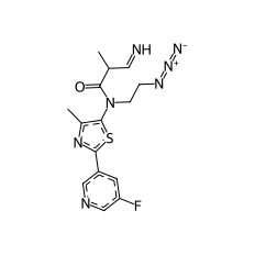 Cc1nc(-c2cncc(F)c2)sc1N(CCN=[N+]=[N-])C(=O)C(C)C=N